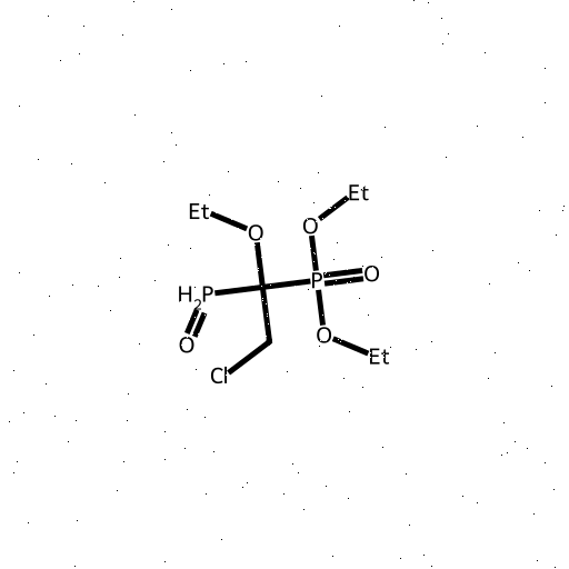 CCOC(CCl)([PH2]=O)P(=O)(OCC)OCC